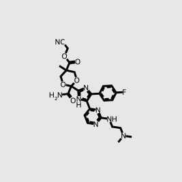 CN(C)CCNc1nccc(-c2[nH]c(C3(C(N)=O)OCC(C)(C(=O)OCC#N)CO3)nc2-c2ccc(F)cc2)n1